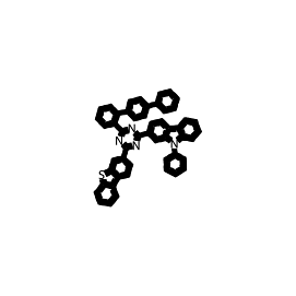 c1ccc(-c2ccc(-c3ccccc3-c3nc(-c4ccc5c(c4)sc4ccccc45)nc(-c4ccc5c6ccccc6n(-c6ccccc6)c5c4)n3)cc2)cc1